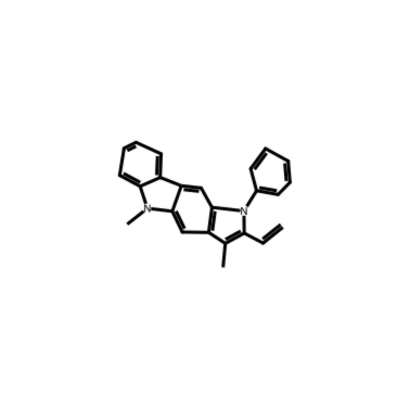 C=Cc1c(C)c2cc3c(cc2n1-c1ccccc1)c1ccccc1n3C